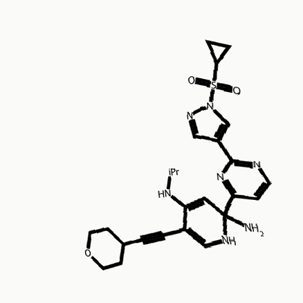 CC(C)NC1=CC(N)(c2ccnc(-c3cnn(S(=O)(=O)C4CC4)c3)n2)NC=C1C#CC1CCOCC1